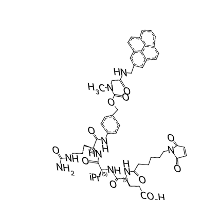 CC(C)[C@H](NC(=O)[C@H](CCC(=O)O)NC(=O)CCCCCN1C(=O)C=CC1=O)C(=O)N[C@@H](CCCNC(N)=O)C(=O)Nc1ccc(COC(=O)N(C)CC(=O)NCc2cc3ccc4cccc5ccc(c2)c3c45)cc1